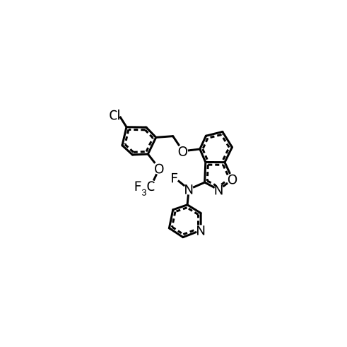 FN(c1cccnc1)c1noc2cccc(OCc3cc(Cl)ccc3OC(F)(F)F)c12